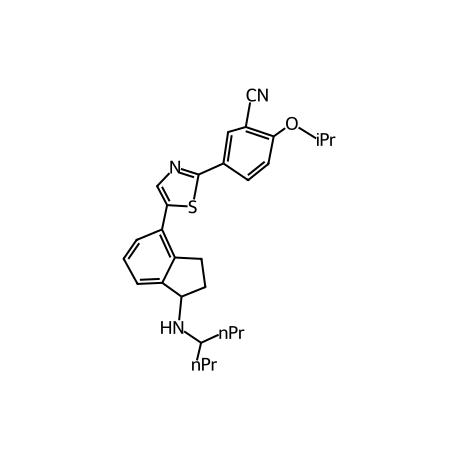 CCCC(CCC)NC1CCc2c(-c3cnc(-c4ccc(OC(C)C)c(C#N)c4)s3)cccc21